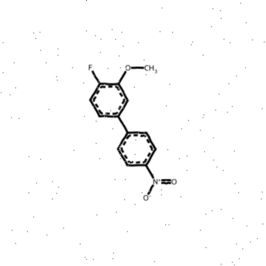 COc1cc(-c2ccc([N+](=O)[O-])cc2)ccc1F